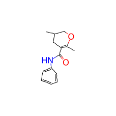 CC1=C(C(=O)Nc2ccccc2)CC(C)CO1